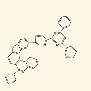 c1ccc(-c2nc(-c3ccccc3)nc(-c3ccc(-c4ccc5oc6ccc7c(-c8ccccc8)nc8ccccc8c7c6c5c4)cc3)n2)cc1